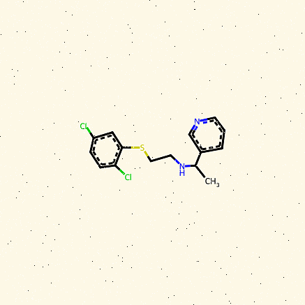 CC(NCCSc1cc(Cl)ccc1Cl)c1cccnc1